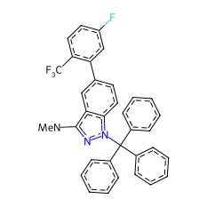 CNc1nn(C(c2ccccc2)(c2ccccc2)c2ccccc2)c2ccc(-c3cc(F)ccc3C(F)(F)F)cc12